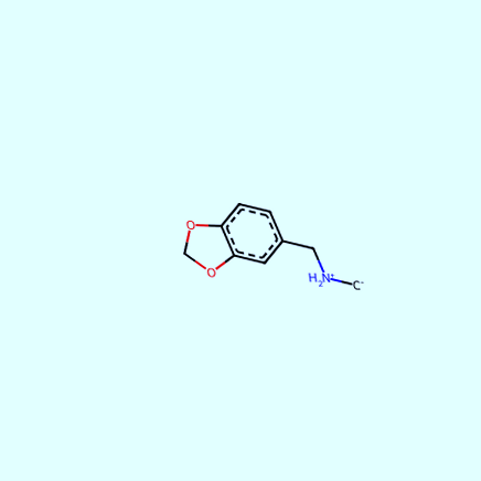 [CH2-][NH2+]Cc1ccc2c(c1)OCO2